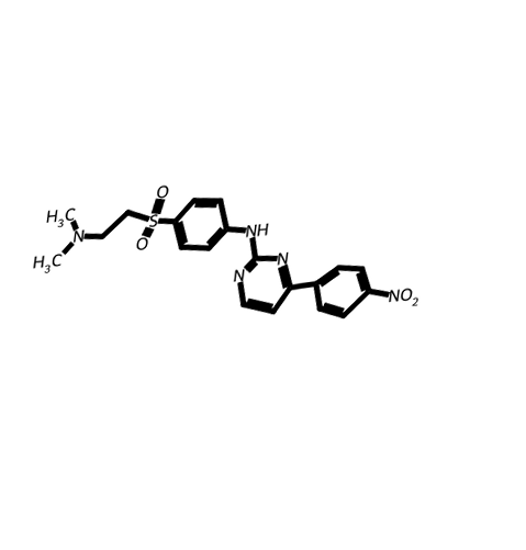 CN(C)CCS(=O)(=O)c1ccc(Nc2nccc(-c3ccc([N+](=O)[O-])cc3)n2)cc1